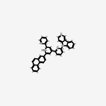 C1=C(c2ccc3c(ccc4ccccc43)c2)NC(c2ccccn2)C=C1c1cccc(-n2c3ccccc3c3cnccc32)n1